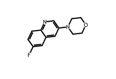 Fc1ccc2ncc(N3CCOCC3)cc2c1